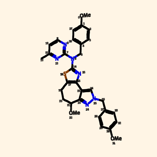 COc1ccc(CN(c2nccc(C)n2)c2nc3c(s2)CCC(OC)c2nn(Cc4ccc(OC)cc4)cc2-3)cc1